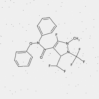 CN1C(F)=C(C(=O)N(Oc2ccccc2)c2ccccc2)C(C(F)F)N1C(F)(F)F